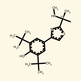 CN[C@](C)(I)c1nc(-c2cc(C(C)(C)C)c(O)c(C(C)(C)C)c2)cs1